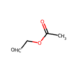 CC(=O)OCC=O